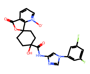 O=C1OC2(CCC(O)(C(=O)Nc3cn(-c4cc(F)cc(F)c4)cn3)CC2)c2c1ccc[n+]2[O-]